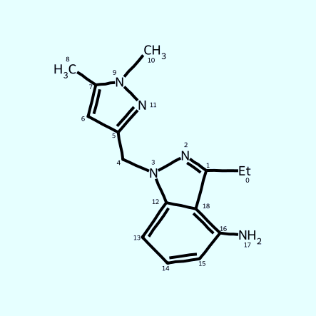 CCc1nn(Cc2cc(C)n(C)n2)c2cccc(N)c12